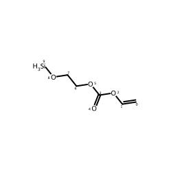 C=COC(=O)OCCO[SiH3]